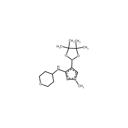 Cn1cc(B2OC(C)(C)C(C)(C)O2)c(NC2CCOCC2)n1